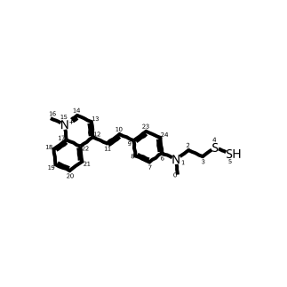 CN(CCSS)c1ccc(/C=C/c2cc[n+](C)c3ccccc23)cc1